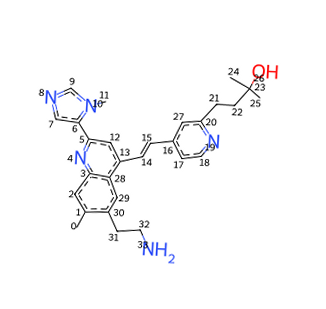 Cc1cc2nc(-c3cncn3C)cc(/C=C/c3ccnc(CCC(C)(C)O)c3)c2cc1CCN